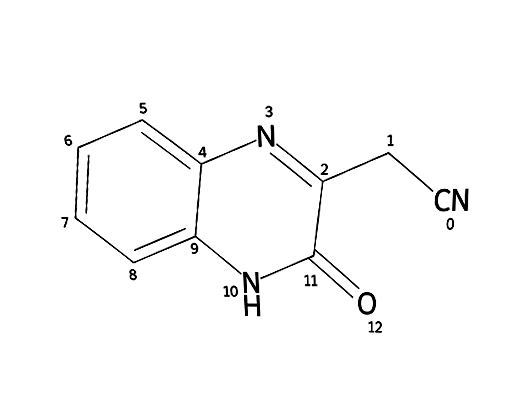 N#CCc1nc2ccccc2[nH]c1=O